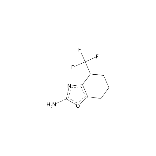 Nc1nc2c(o1)CCCC2C(F)(F)F